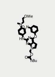 CCCCC(=O)OCn1ccc2c(Oc3cccc([N+](=O)[O-])c3)nc(Nc3ccc(N(C)CCOC)cc3)nc21